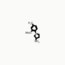 COc1cc(C)ccc1N1CCC(N)C1